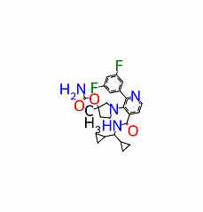 CC1(OC(N)=O)CCN(c2c(C(=O)NC(C3CC3)C3CC3)ccnc2-c2cc(F)cc(F)c2)C1